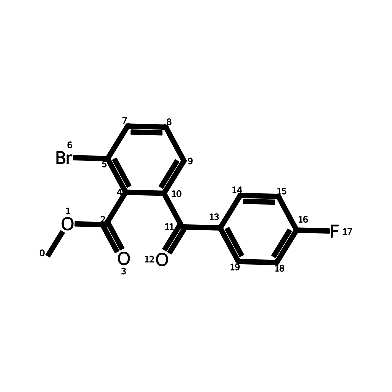 COC(=O)c1c(Br)cccc1C(=O)c1ccc(F)cc1